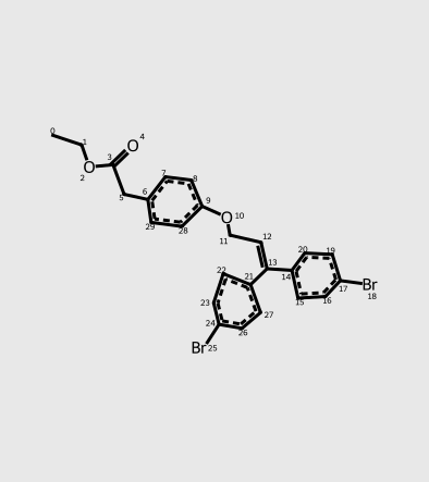 CCOC(=O)Cc1ccc(OCC=C(c2ccc(Br)cc2)c2ccc(Br)cc2)cc1